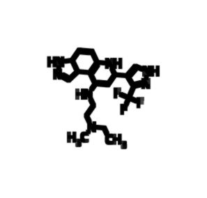 CCN(C)CCNC1=CC(c2c[nH]nc2C(F)(F)F)NC2=C1C1C=NNC1C=C2